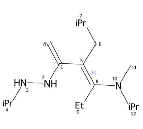 C=C(NNC(C)C)/C(CC(C)C)=C(\CC)N(C)C(C)C